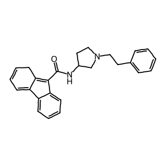 O=C(NC1CCN(CCc2ccccc2)C1)C1=C2CC=CC=C2c2ccccc21